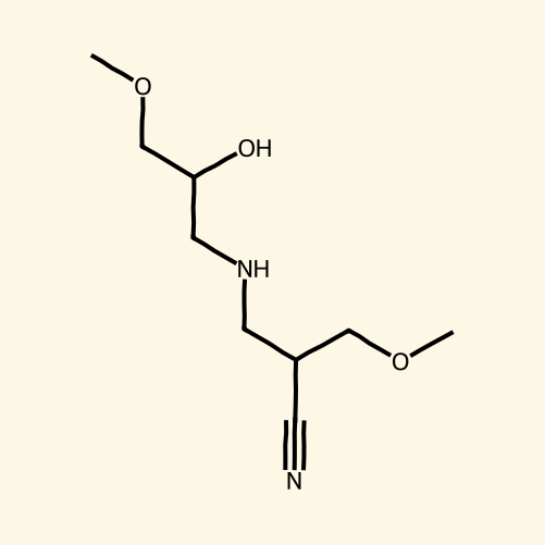 COCC(O)CNCC(C#N)COC